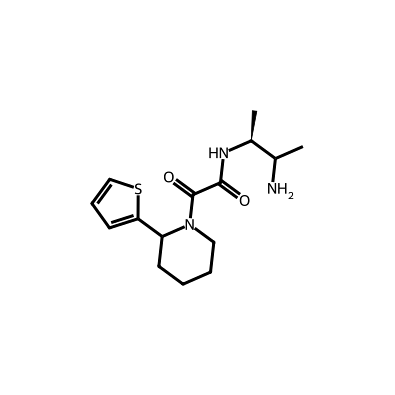 CC(N)[C@H](C)NC(=O)C(=O)N1CCCCC1c1cccs1